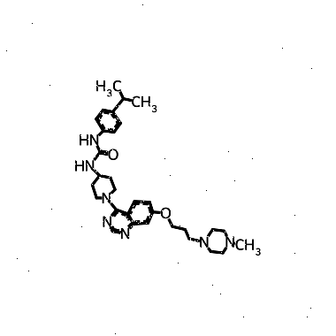 CC(C)c1ccc(NC(=O)NC2CCN(c3ncnc4cc(OCCCN5CCN(C)CC5)ccc34)CC2)cc1